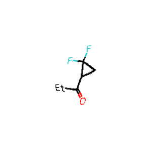 CCC(=O)C1CC1(F)F